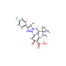 CC(C)(C)[C@H](Cn1nnc(-c2ccc(F)cc2)c1I)n1ccc(=O)c(C(=O)O)c1